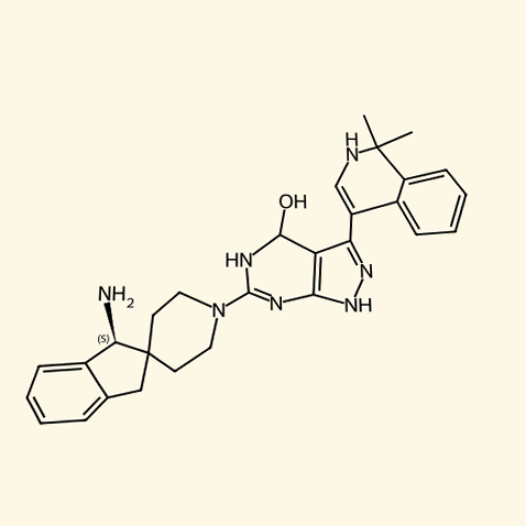 CC1(C)NC=C(c2n[nH]c3c2C(O)NC(N2CCC4(CC2)Cc2ccccc2[C@H]4N)=N3)c2ccccc21